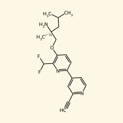 C#Cc1cc(-c2ccc(OC[C@@](C)(N)CC(C)C)c(C(F)F)n2)ccn1